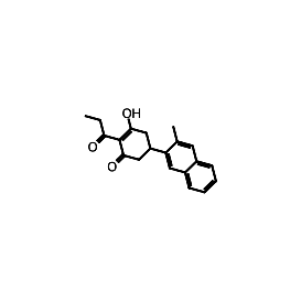 CCC(=O)C1=C(O)CC(c2cc3ccccc3cc2C)CC1=O